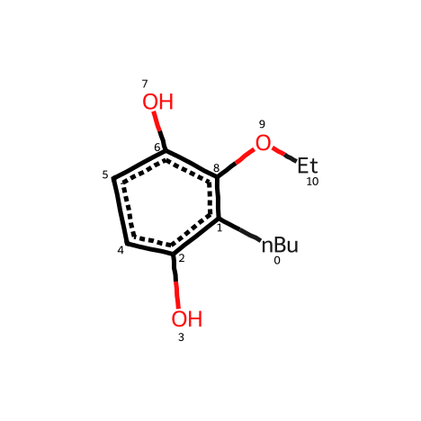 CCCCc1c(O)ccc(O)c1OCC